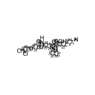 N#Cc1ccc(-c2ccc(CC(NC(=O)C3Cc4cc5c(cc4CN3C(=O)c3cccc4ccccc34)OC(c3ccc(OCc4ccc(Cl)c(Cl)c4)cc3)C(=O)N5)C(=O)O)cc2)cc1